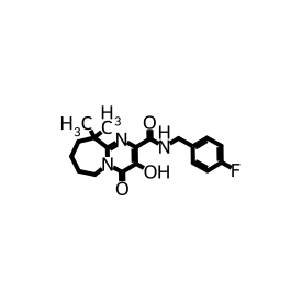 CC1(C)CCCCn2c1nc(C(=O)NCc1ccc(F)cc1)c(O)c2=O